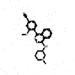 COc1cc(C#N)ccc1-c1nnc(NC2CCCN(C)C2)c2ccccc12